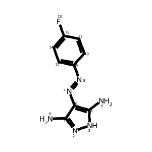 Nc1n[nH]c(N)c1N=Nc1ccc(F)cc1